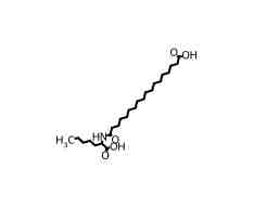 CCCCCC(NC(=O)CCCCCCCCCCCCCCCCC(=O)O)C(=O)O